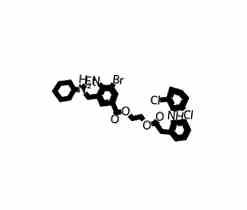 CCN(Cc1cc(C(=O)OCCOC(=O)Cc2ccccc2Nc2c(Cl)cccc2Cl)cc(Br)c1N)C1CCCCC1